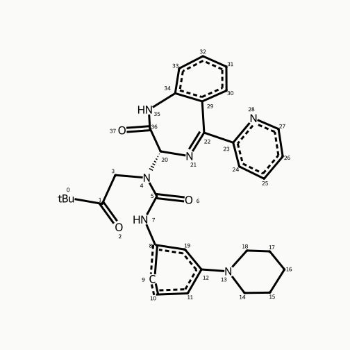 CC(C)(C)C(=O)CN(C(=O)Nc1cccc(N2CCCCC2)c1)[C@H]1N=C(c2ccccn2)c2ccccc2NC1=O